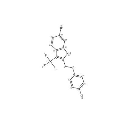 FC(F)(F)c1c(CCc2ccc(Cl)cc2)[nH]c2cc(Br)ccc12